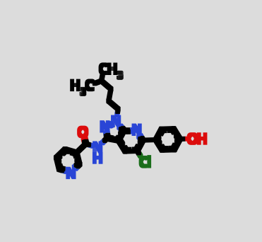 CC(C)CCCn1nc(NC(=O)c2cccnc2)c2cc(Cl)c(-c3ccc(O)cc3)nc21